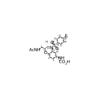 CC(=O)NC[C@@H]1Oc2ccc(NC(=O)O)cc2N(S(=O)(=O)c2ccc(F)cc2)[C@H]1C